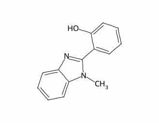 Cn1c(-c2ccccc2O)nc2ccccc21